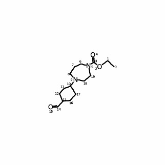 CCOC(=O)N1CCCN(C2CCC(C=O)CC2)CC1